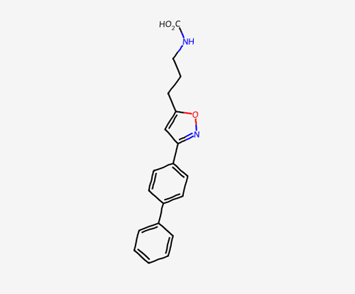 O=C(O)NCCCc1cc(-c2ccc(-c3ccccc3)cc2)no1